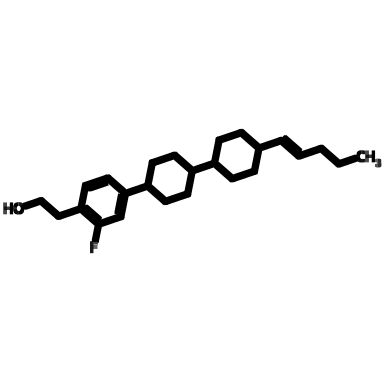 CCC/C=C/C1CCC(C2CCC(c3ccc(CCO)c(F)c3)CC2)CC1